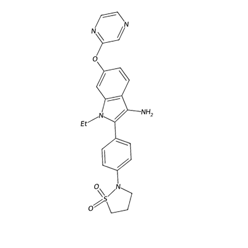 CCn1c(-c2ccc(N3CCCS3(=O)=O)cc2)c(N)c2ccc(Oc3cnccn3)cc21